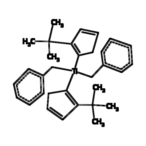 CC(C)(C)C1=[C]([Ti]([CH2]c2ccccc2)([CH2]c2ccccc2)[C]2=C(C(C)(C)C)C=CC2)CC=C1